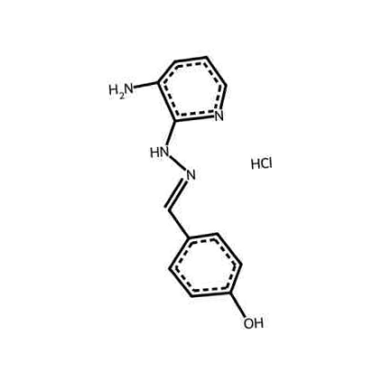 Cl.Nc1cccnc1NN=Cc1ccc(O)cc1